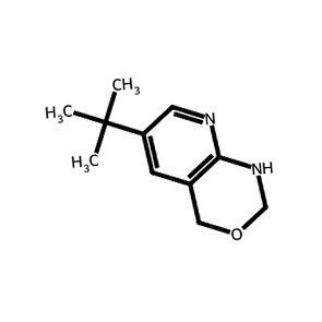 CC(C)(C)c1cnc2c(c1)COCN2